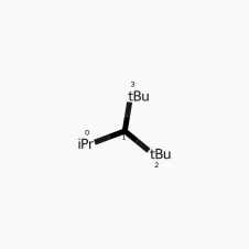 [CH2]C(C)C(C(C)(C)C)C(C)(C)C